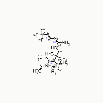 C=CN/C(CC)=C(/C(C)(C)CN/C(N)=N\C=C\C(F)(F)F)P(C)(C)=O